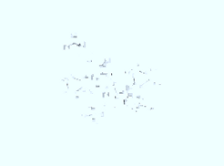 Bc1c(B)c(B)c(C[C@H](NC(=O)[C@](B)(CCCC(B)(B)N)NC(=O)[C@H](Cc2c(C)cc(O)cc2C)NC(=O)[C@H](N)CCCNC(=N)N)C(N)=O)c(B)c1B